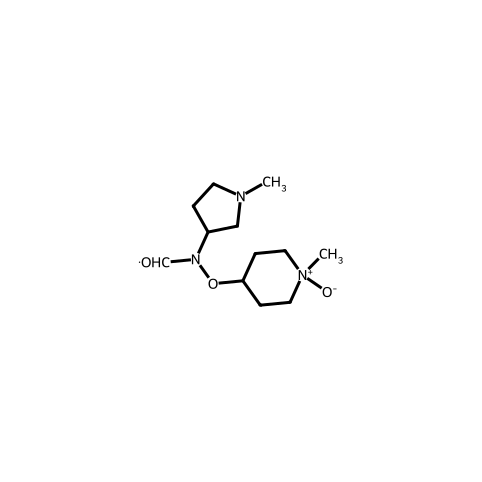 CN1CCC(N([C]=O)OC2CC[N+](C)([O-])CC2)C1